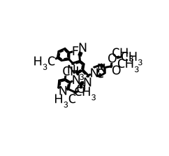 Cc1ccc(F)c(-c2nc3c(cc2C#N)c(N2CC4CCC2CN4C(=O)OC(C)(C)C)nc(=O)n3-c2c(C)ccnc2C(C)C)c1